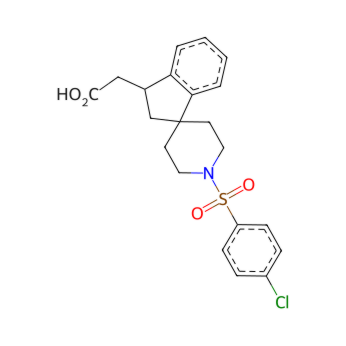 O=C(O)CC1CC2(CCN(S(=O)(=O)c3ccc(Cl)cc3)CC2)c2ccccc21